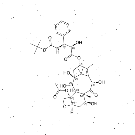 CC(=O)O[C@@]12CO[C@@H]1C[C@H](O)[C@@]1(C)C(=O)[C@H](O)C3=C(C)[C@@H](OC(=O)[C@H](O)[C@@H](NC(=O)OC(C)(C)C)c4ccccc4)C[C@@](O)([C@@H](O)[C@H]21)C3(C)C